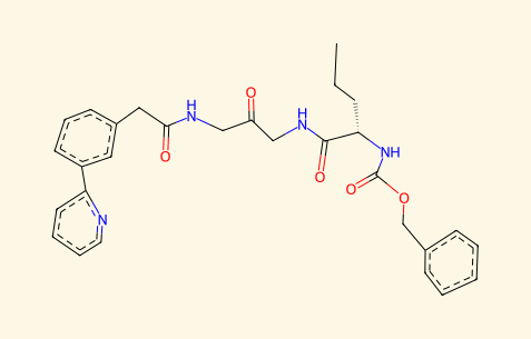 CCC[C@H](NC(=O)OCc1ccccc1)C(=O)NCC(=O)CNC(=O)Cc1cccc(-c2ccccn2)c1